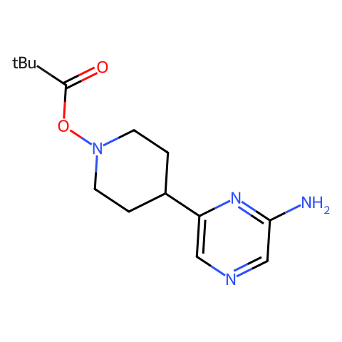 CC(C)(C)C(=O)ON1CCC(c2cncc(N)n2)CC1